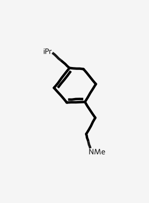 CNCCC1=CC=C(C(C)C)CC1